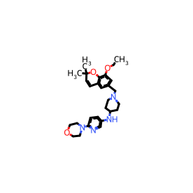 CCOc1cc(CN2CCC(Nc3ccc(N4CCOCC4)nc3)CC2)cc2c1OC(C)(C)C=C2